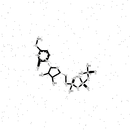 NOc1ccn([C@@H]2O[C@H](COP(=O)(O)OP(=O)(O)OP(=O)(O)O)C(O)C2O)c(=O)n1